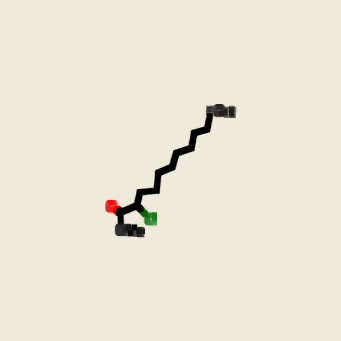 CCCCCCCCCCCCCCCCC(Cl)C(=O)OC